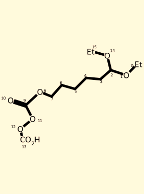 CCOC(CCCCCOC(=O)OOC(=O)O)OCC